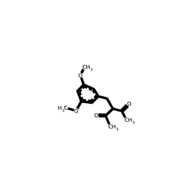 COc1cc(CC(C(C)=O)C(C)=O)cc(OC)c1